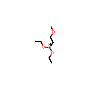 CCO[SiH](CCOC)OCC